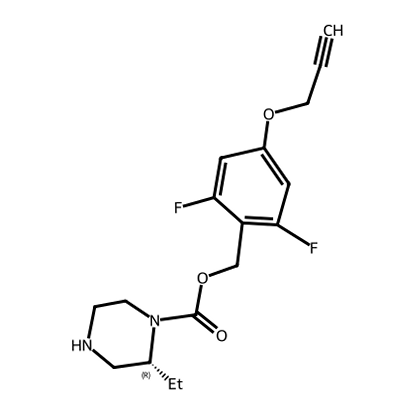 C#CCOc1cc(F)c(COC(=O)N2CCNC[C@H]2CC)c(F)c1